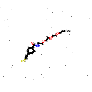 CNCCOCCOCCOCCNC(=O)c1ccc(C#CS)cc1